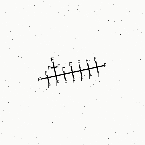 FC(F)(F)C(F)(C(F)(F)F)C(F)(F)C(F)(F)C(F)(F)C(F)(F)C(F)(F)I